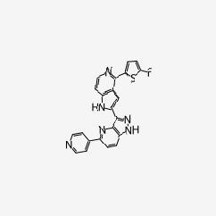 Fc1ccc(-c2nccc3[nH]c(-c4n[nH]c5ccc(-c6ccncc6)nc45)cc23)s1